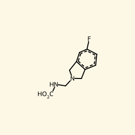 O=C(O)NCN1Cc2ccc(F)cc2C1